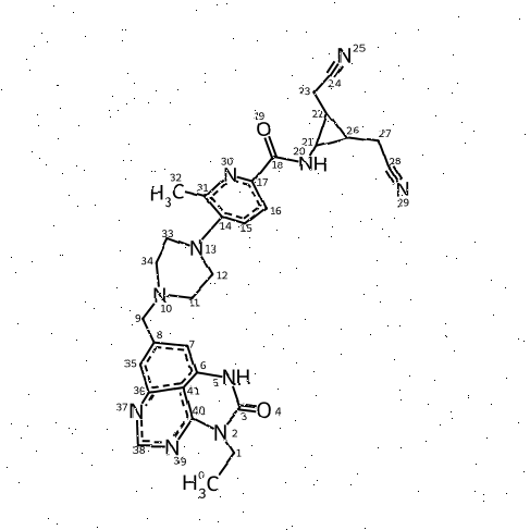 CCN1C(=O)Nc2cc(CN3CCN(c4ccc(C(=O)NC5C(CC#N)C5CC#N)nc4C)CC3)cc3ncnc1c23